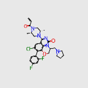 C=CC(=O)N1C[C@H](C)N(c2nc(=O)n3c4c(c(-c5ccc(F)cc5F)c(Cl)cc24)OCC3CN2CCCC2)C[C@H]1C